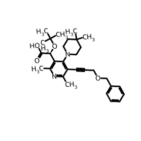 Cc1nc(C)c([C@H](OC(C)(C)C)C(=O)O)c(N2CCC(C)(C)CC2)c1C#CCOCc1ccccc1